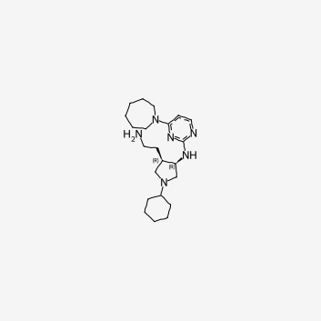 NCC[C@@H]1CN(C2CCCCC2)C[C@@H]1Nc1nccc(N2CCCCCC2)n1